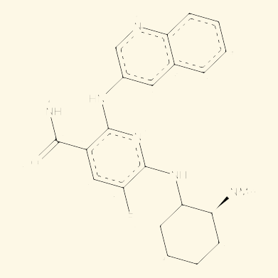 CN[C@H]1CCCCC1Nc1nc(Nc2cnc3ccccc3c2)c(C(N)=O)cc1F